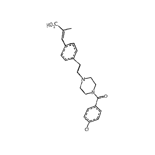 CC(=Cc1ccc(CCN2CCN(C(=O)c3ccc(Cl)cc3)CC2)cc1)C(=O)O